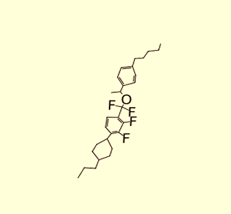 CCCCCc1ccc(C(C)OC(F)(F)c2ccc(C3CCC(CCC)CC3)c(F)c2F)cc1